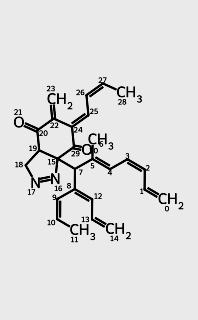 C=C/C=C\C=C(/C)C(C(/C=C\C)=C/C=C)C12N=NCC1C(=O)C(=C)/C(=C\C=C/C)C2=O